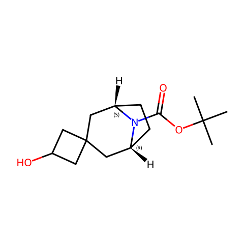 CC(C)(C)OC(=O)N1[C@@H]2CC[C@H]1CC1(CC(O)C1)C2